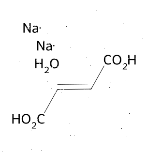 O.O=C(O)C=CC(=O)O.[Na].[Na]